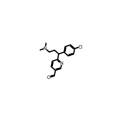 CN(C)CCC(c1ccc(Cl)cc1)c1ccc(C=O)cn1